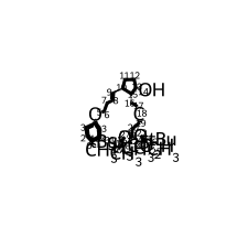 Cc1ccc(OCCC=C[C@H]2CC[C@H](O)[C@@H]2CC=C=CCC(O[Si](C)(C)C(C)(C)C)(O[Si](C)(C)C(C)(C)C)C(=O)O)cc1